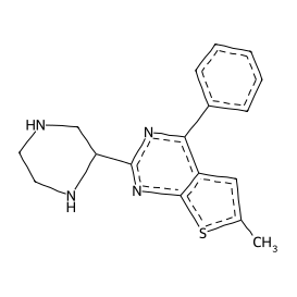 Cc1cc2c(-c3ccccc3)nc(C3CNCCN3)nc2s1